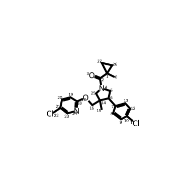 CC1(C(=O)N2CC(c3ccc(Cl)cc3)C(C)(COc3ccc(Cl)cn3)C2)CC1